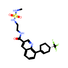 CNS(=O)(=O)NCCNC(=O)c1cnc2c(C3=CC[C@@H](C(F)(F)F)CC3)cccc2c1